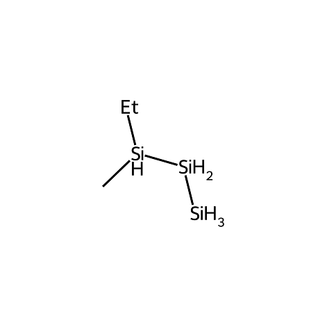 CC[SiH](C)[SiH2][SiH3]